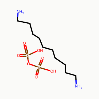 NCCCCCCCCCCN.O=S(=O)(O)OS(=O)(=O)O